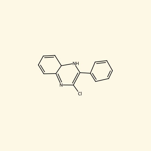 ClC1=C(c2ccccc2)NC2C=CC=CC2=N1